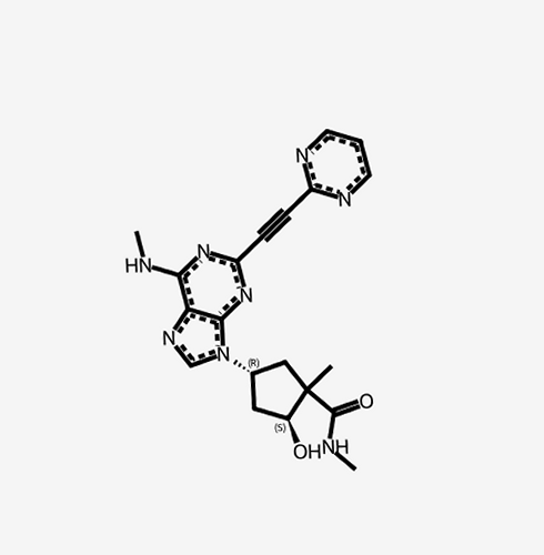 CNC(=O)C1(C)C[C@@H](n2cnc3c(NC)nc(C#Cc4ncccn4)nc32)C[C@@H]1O